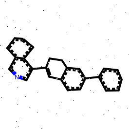 C1=C(c2cncc3ccccc23)CCc2cc(-c3ccccc3)ccc21